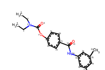 CCN(CC)C(=O)Oc1ccc(C(=O)Nc2cc(C)cc(C)c2)cc1